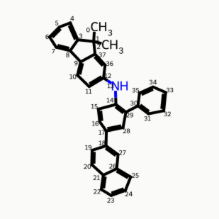 CC1(C)c2ccccc2-c2ccc(Nc3ccc(-c4ccc5ccccc5c4)cc3-c3ccccc3)cc21